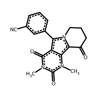 Cn1c(=O)c2c(-c3cccc(C#N)c3)n3c(c2n(C)c1=O)C(=O)CCC3